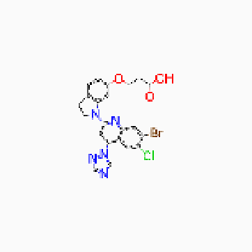 O=C(O)CCOc1ccc2c(c1)N(c1cc(-n3cncn3)c3cc(Cl)c(Br)cc3n1)CC2